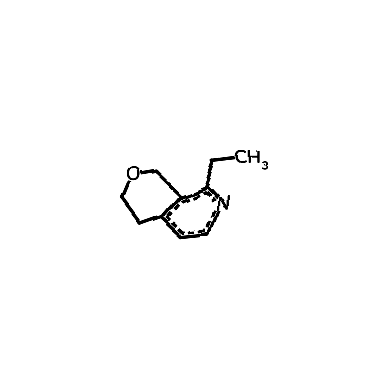 CCc1nccc2c1COCC2